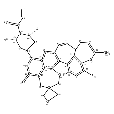 C=CC(=O)N1[C@H](C)CN(c2nc(=O)n3c4c(c5c(cc24)C=CC2CC=C(N)Sc4c(F)cc(F)c-5c42)OCC2(COC2)C3)C[C@@H]1C